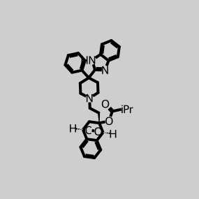 CC(C)C(=O)O[C@@]1(CCN2CCC(c3ccccc3)(c3nc4ccccc4[nH]3)CC2)C[C@H]2CC[C@@H]1c1ccccc12